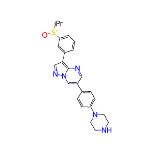 CC(C)[S+]([O-])c1cccc(-c2cnn3cc(-c4ccc(N5CCNCC5)cc4)cnc23)c1